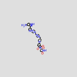 Nc1ccc2[nH]nc(-c3ccnc(N4CCN(CCN5CCN(CC6CCN(c7ccc8c(c7)C(=O)N(C7CCC(=O)NC7=O)C8=O)CC6)CC5)CC4)c3)c2c1